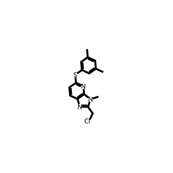 Cc1cc(C)cc(Sc2ccc3nc(CCl)n(C)c3n2)c1